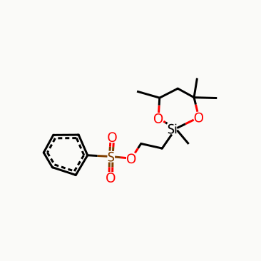 CC1CC(C)(C)O[Si](C)(CCOS(=O)(=O)c2ccccc2)O1